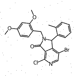 COc1ccc(CN2C(=O)c3c(Cl)ncc(Br)c3C2c2ccccc2C)c(OC)c1